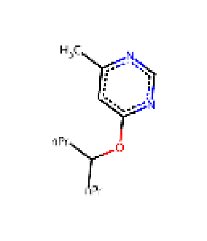 CCCC(CCC)Oc1cc(C)ncn1